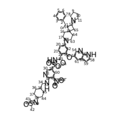 CCc1ccccc1[C@@H]1CCCN1C1CC2(CCN(c3ccc(C(=O)NS(=O)(=O)c4cnc(NCC5CCC(N=S(C)(C)=O)CC5)c([N+](=O)[O-])c4)c(Oc4cnc5[nH]ccc5c4)c3)CC2)C1